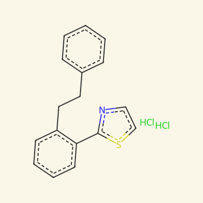 Cl.Cl.c1ccc(CCc2ccccc2-c2nccs2)cc1